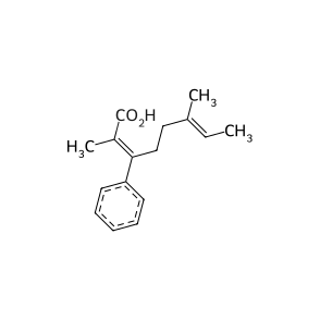 CC=C(C)CCC(=C(C)C(=O)O)c1ccccc1